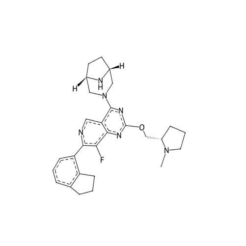 CN1CCC[C@H]1COc1nc(N2C[C@H]3CC[C@@H](C2)N3)c2cnc(-c3cccc4c3CCC4)c(F)c2n1